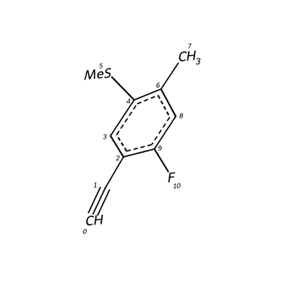 C#Cc1cc(SC)c(C)cc1F